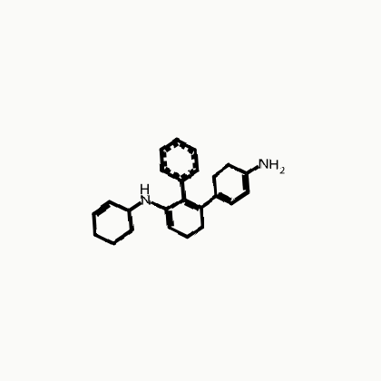 NC1=CC=C(C2=C(c3ccccc3)C(NC3C=CCCC3)=CCC2)CC1